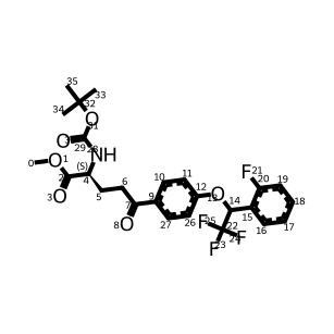 COC(=O)[C@H](CCC(=O)c1ccc(OC(c2ccccc2F)C(F)(F)F)cc1)NC(=O)OC(C)(C)C